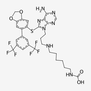 Nc1ncnc2c1nc(Sc1cc3c(cc1-c1cc(C(F)(F)F)cc(C(F)(F)F)c1)OCO3)n2CCCNCCCCCCNC(=O)O